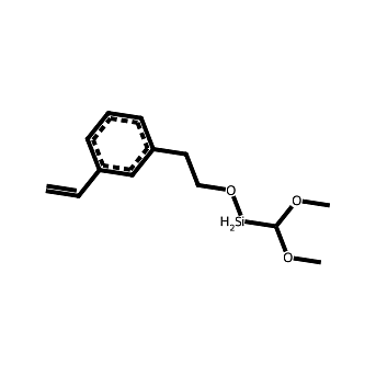 C=Cc1cccc(CCO[SiH2]C(OC)OC)c1